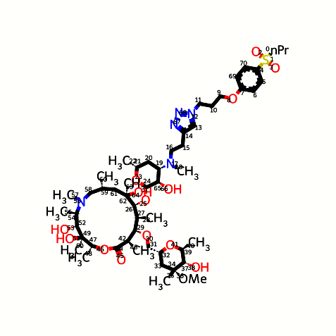 CCCS(=O)(=O)c1ccc(OCCCn2cc(CCN(C)[C@H]3C[C@@H](C)O[C@@H](O[C@@H]4[C@@H](C)[C@H](OC[C@H]5C[C@@](C)(OC)[C@@H](O)[C@H](C)O5)[C@@H](C)C(=O)O[C@H](C)[C@@](C)(O)[C@H](O)[C@@H](C)N(C)C[C@H](C)C[C@@]4(C)O)[C@@H]3O)nn2)cc1